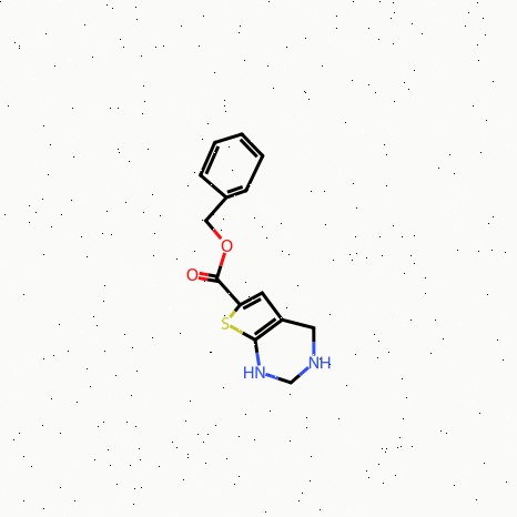 O=C(OCc1ccccc1)c1cc2c(s1)NCNC2